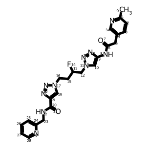 Cc1ccc(CC(=O)Nc2cn(CC(F)CCn3cc(C(=O)NCc4ccccn4)nn3)nn2)cn1